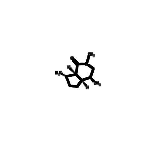 C[C@@H]1CN(C)C(=O)[C@H]2[C@@H]1CC[C@@H]2C